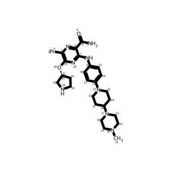 CC(C)c1nc(C(N)=O)c(Nc2ccc(N3CCC(N4CCN(C)CC4)CC3)cc2)nc1O[C@@H]1CCNC1